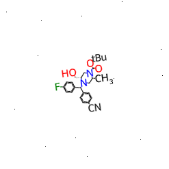 C[C@H]1CN(C(c2ccc(F)cc2)c2ccc(C#N)cc2)[C@H](CO)CN1C(=O)OC(C)(C)C